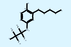 CCCCCc1cc(OC(F)(F)C(C)(F)F)ccc1C